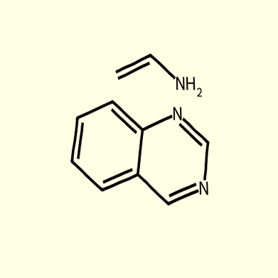 C=CN.c1ccc2ncncc2c1